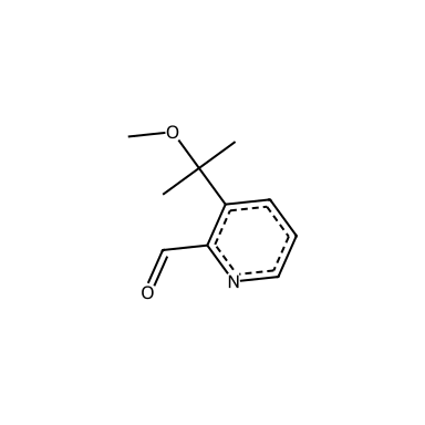 COC(C)(C)c1cccnc1C=O